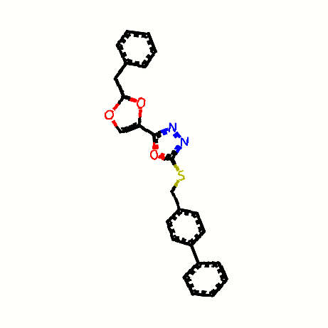 C1=C(c2nnc(SCc3ccc(-c4ccccc4)cc3)o2)OC(Cc2ccccc2)O1